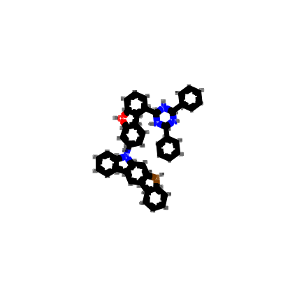 c1ccc(-c2nc(-c3ccccc3)nc(-c3cccc4oc5cc(-n6c7ccccc7c7cc8c(cc76)sc6ccccc68)ccc5c34)n2)cc1